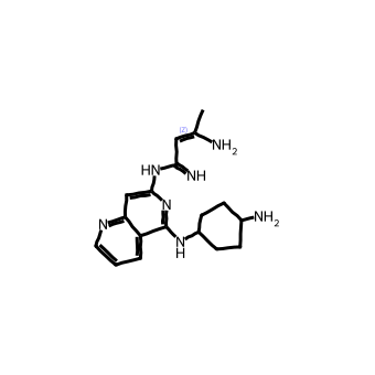 C/C(N)=C/C(=N)Nc1cc2ncccc2c(NC2CCC(N)CC2)n1